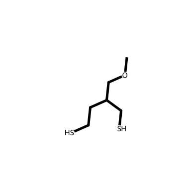 COCC(CS)CCS